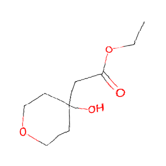 CCOC(=O)CC1(O)CCOCC1